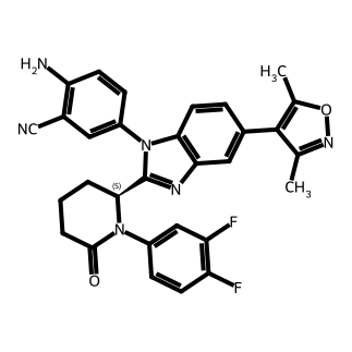 Cc1noc(C)c1-c1ccc2c(c1)nc([C@@H]1CCCC(=O)N1c1ccc(F)c(F)c1)n2-c1ccc(N)c(C#N)c1